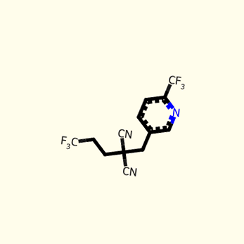 N#CC(C#N)(CCC(F)(F)F)Cc1ccc(C(F)(F)F)nc1